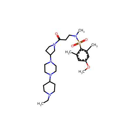 CCN1CCC(N2CCN(C3CCN(C(=O)CCN(C)S(=O)(=O)c4c(C)cc(OC)cc4C)C3)CC2)CC1